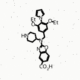 CCOc1cc(CN(c2nc3cc(C(=O)O)ccc3o2)C2CCNCC2)cc(OCC)c1-n1cccc1